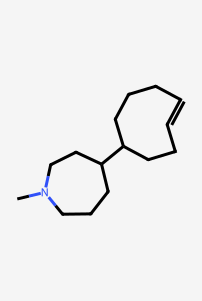 CN1CCCC(C2CC/C=C/CCC2)CC1